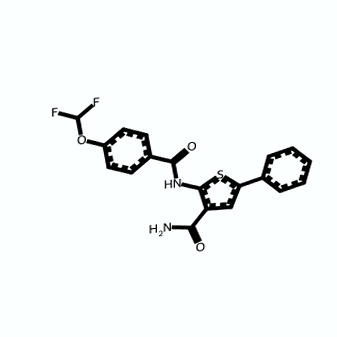 NC(=O)c1cc(-c2ccccc2)sc1NC(=O)c1ccc(OC(F)F)cc1